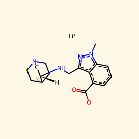 Cn1nc(CN[C@H]2CN3CCC2CC3)c2c(C(=O)[O-])cccc21.[Li+]